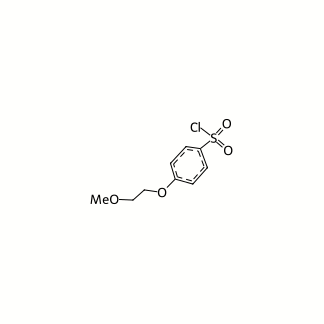 COCCOc1ccc(S(=O)(=O)Cl)cc1